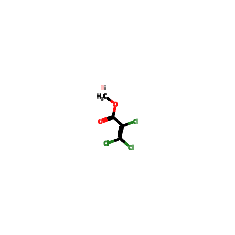 COC(=O)C(Cl)=C(Cl)Cl.[B]